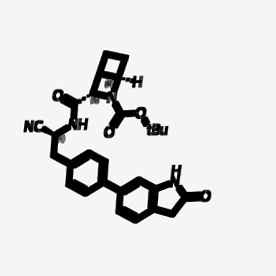 CC(C)(C)OC(=O)N1[C@@H]2CCC2[C@H]1C(=O)N[C@H](C#N)Cc1ccc(-c2ccc3c(c2)NC(=O)C3)cc1